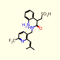 CC(C)=Cc1nc(C(F)(F)F)ccc1CNC(=O)C(CS(=O)(=O)O)c1ccccc1N